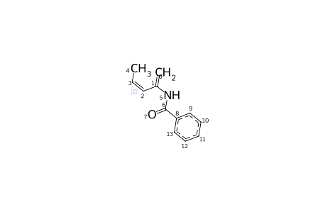 C=C(/C=C\C)NC(=O)c1ccccc1